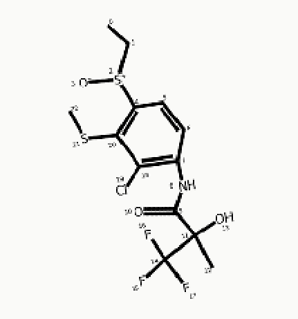 CC[S+]([O-])c1ccc(NC(=O)C(C)(O)C(F)(F)F)c(Cl)c1SC